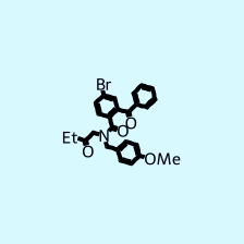 CCC(=O)CN(Cc1ccc(OC)cc1)C(=O)c1ccc(Br)cc1C(=O)c1ccccc1